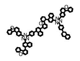 C1=Cc2oc3c(-c4ccc(-c5ccc(-c6nc(-c7ccc8c(ccc9oc%10ccccc%10c98)c7)nc(-c7ccc(-c8cccc9oc%10ccccc%10c89)c8ccccc78)n6)cc5)c5ccccc45)cccc3c2C(c2ccc(-c3nc(-c4ccc(C5C=Cc6ccccc6C5)cc4)nc(-c4ccc5c(ccc6oc7ccccc7c65)c4)n3)c3ccccc23)C1